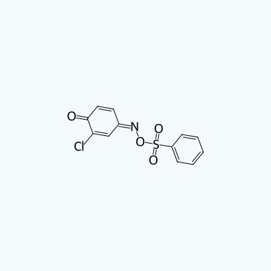 O=C1C=CC(=NOS(=O)(=O)c2ccccc2)C=C1Cl